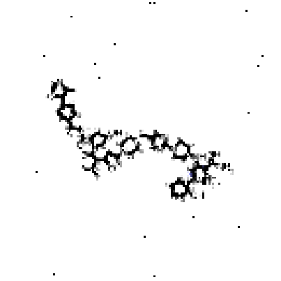 Cc1ncsc1-c1ccc([C@H](C)NC(=O)[C@@H]2C[C@@H](O)CN2C(=O)C(c2cc(N3CCN(Cc4cnc(N5CCC(NC(/C=C(\N)c6ccccc6O)=C(/N)C(=N)N)CC5)nc4)CC3)no2)C(C)C)cc1